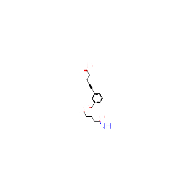 COC(=O)CCC#Cc1cccc(CO[C@H](C)[C@@H](C)CCC(N)=O)c1